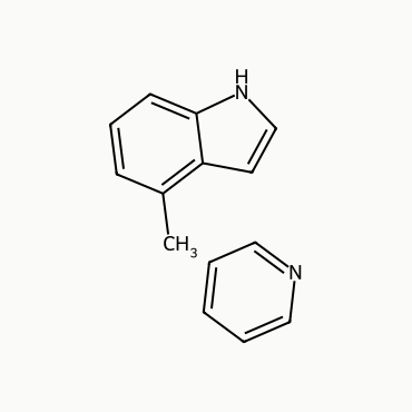 Cc1cccc2[nH]ccc12.c1ccncc1